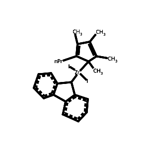 CCCC1=C(C)C(C)=C(C)[C]1(C)[Zr]([I])([I])[CH]1c2ccccc2-c2ccccc21